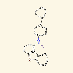 IN(c1ccc(-c2ccccc2)cc1)c1cccc2sc3ccccc3c12